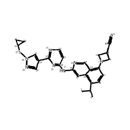 CC(C)c1ccc(N2CC(C#N)C2)c2cnc(Nc3ccnc(-c4cnn(SC5CC5)c4)n3)cc12